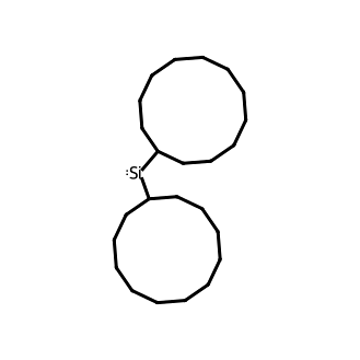 C1CCCCCC([Si]C2CCCCCCCCCCC2)CCCCC1